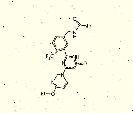 CCOC1=NCN(c2cc(=O)[nH]c(-c3cc(CNC(=O)C(C)C)ccc3C(F)(F)F)n2)C=C1